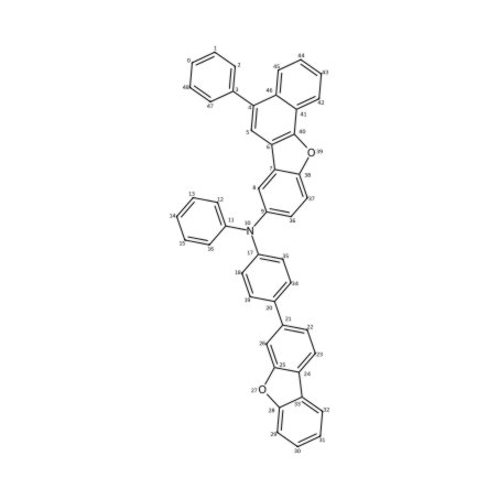 c1ccc(-c2cc3c4cc(N(c5ccccc5)c5ccc(-c6ccc7c(c6)oc6ccccc67)cc5)ccc4oc3c3ccccc23)cc1